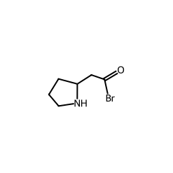 O=C(Br)CC1CCCN1